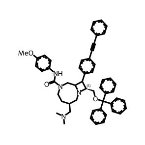 COc1ccc(NC(=O)N2CCC(CN(C)C)CN3C(C2)C(c2ccc(C#Cc4ccccc4)cc2)[C@H]3COC(c2ccccc2)(c2ccccc2)c2ccccc2)cc1